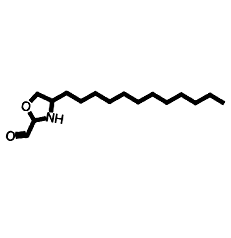 CCCCCCCCCCCCC1COC(C=O)N1